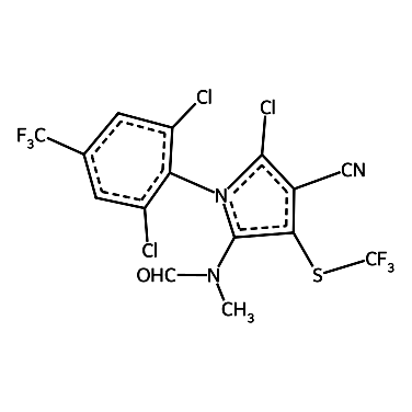 CN(C=O)c1c(SC(F)(F)F)c(C#N)c(Cl)n1-c1c(Cl)cc(C(F)(F)F)cc1Cl